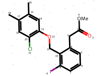 COC(=O)Cc1cccc(I)c1COc1cc(C)c(C)cc1Cl